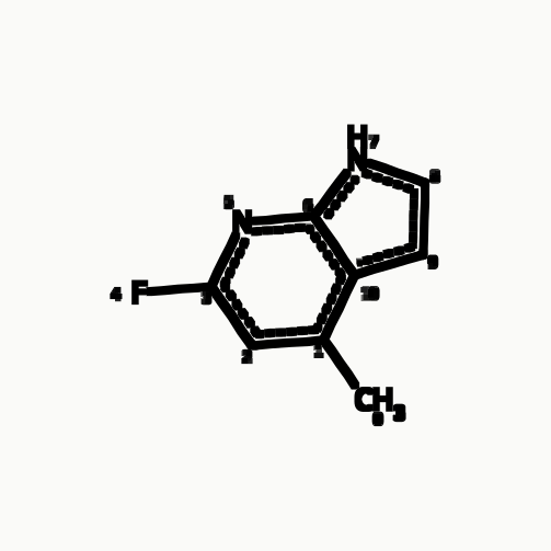 Cc1cc(F)nc2[nH]ccc12